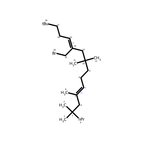 CCCC(C)(C)C/C(C)=C/CCC(C)(C)C/C(=C/CCC(C)(C)C)CBr